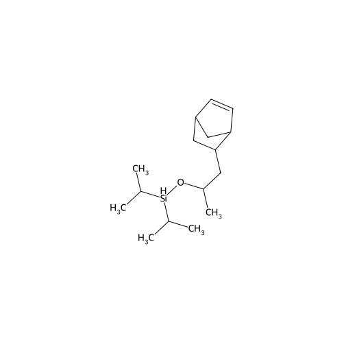 CC(CC1CC2C=CC1C2)O[SiH](C(C)C)C(C)C